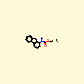 CCOC(=O)Nc1cccc2c1Cc1ccccc1-2